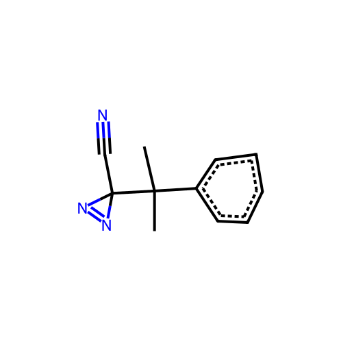 CC(C)(c1ccccc1)C1(C#N)N=N1